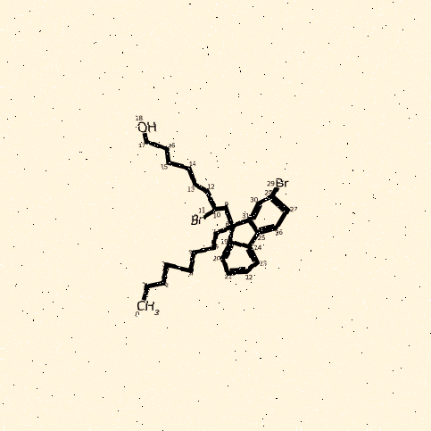 CCCCCCCCC1(CC(Br)CCCCCCO)c2ccccc2-c2ccc(Br)cc21